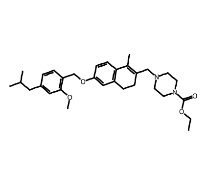 CCOC(=O)N1CCN(CC2=C(C)c3ccc(OCc4ccc(CC(C)C)cc4OC)cc3CC2)CC1